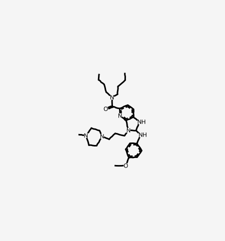 CCCCN(CCCC)C(=O)c1ccc2c(n1)N(CCCN1CCN(C)CC1)C(Nc1ccc(OC)cc1)N2